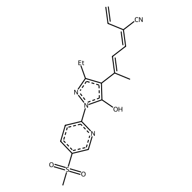 C=C/C(C#N)=C\C=C(/C)c1c(CC)nn(-c2ccc(S(C)(=O)=O)cn2)c1O